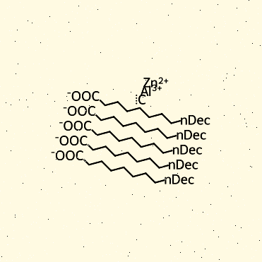 CCCCCCCCCCCCCCCCCC(=O)[O-].CCCCCCCCCCCCCCCCCC(=O)[O-].CCCCCCCCCCCCCCCCCC(=O)[O-].CCCCCCCCCCCCCCCCCC(=O)[O-].CCCCCCCCCCCCCCCCCC(=O)[O-].[Al+3].[C].[Zn+2]